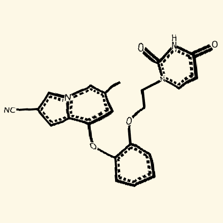 Cc1cc(Oc2ccccc2OCCn2ccc(=O)[nH]c2=O)c2cc(C#N)cn2c1